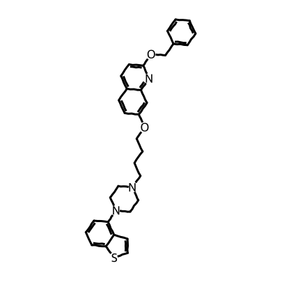 c1ccc(COc2ccc3ccc(OCCCCN4CCN(c5cccc6sccc56)CC4)cc3n2)cc1